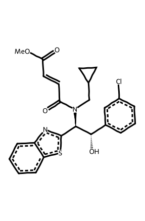 COC(=O)C=CC(=O)N(CC1CC1)[C@H](c1nc2ccccc2s1)[C@@H](O)c1cccc(Cl)c1